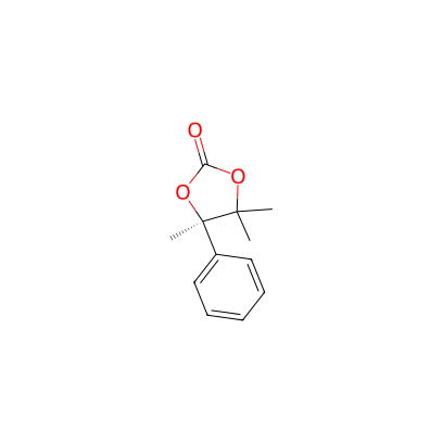 CC1(C)OC(=O)O[C@]1(C)c1ccccc1